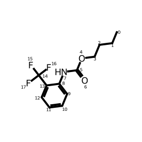 CCCCOC(=O)Nc1ccccc1C(F)(F)F